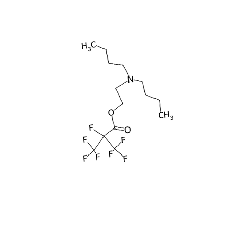 CCCCN(CCCC)CCOC(=O)C(F)(C(F)(F)F)C(F)(F)F